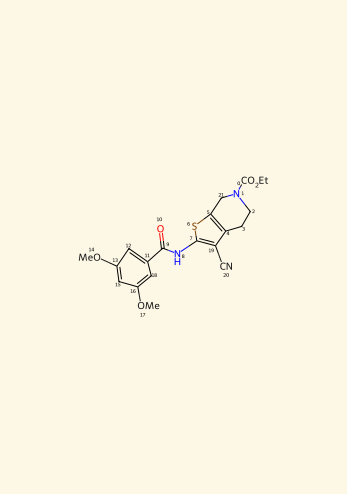 CCOC(=O)N1CCc2c(sc(NC(=O)c3cc(OC)cc(OC)c3)c2C#N)C1